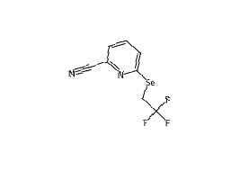 N#Cc1cccc([Se]CC(F)(F)F)n1